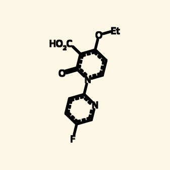 CCOc1ccn(-c2ccc(F)cn2)c(=O)c1C(=O)O